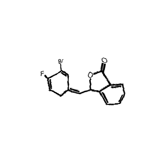 O=C1OC(C=C2C=C(Br)C(F)=CC2)c2ccccc21